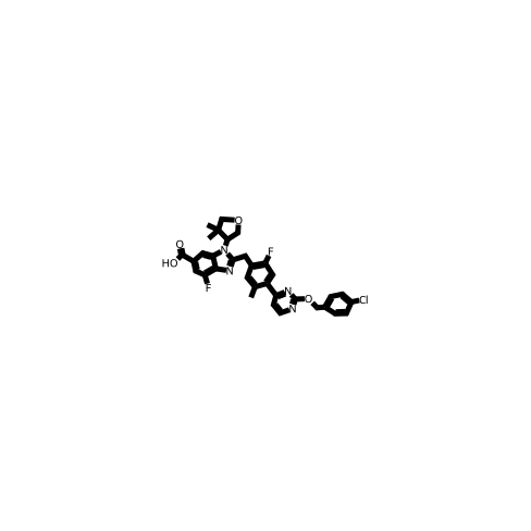 Cc1cc(Cc2nc3c(F)cc(C(=O)O)cc3n2C2COCC2(C)C)c(F)cc1-c1ccnc(OCc2ccc(Cl)cc2)n1